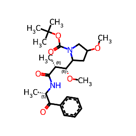 COC1CC([C@H](OC)[C@@H](C)C(=O)N[C@@H](C)C(=O)c2ccccc2)N(C(=O)OC(C)(C)C)C1